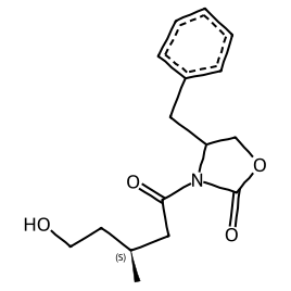 C[C@@H](CCO)CC(=O)N1C(=O)OCC1Cc1ccccc1